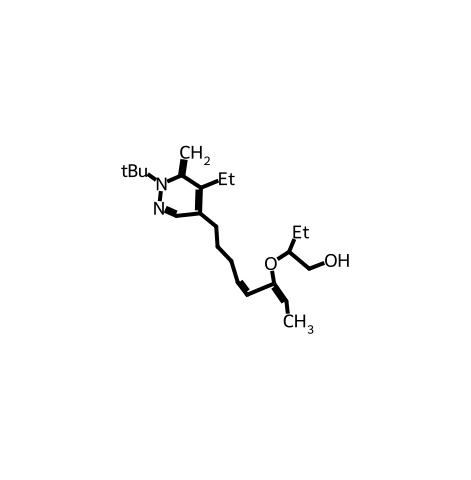 C=C1C(CC)=C(CCC/C=C\C(=C/C)OC(CC)CO)C=NN1C(C)(C)C